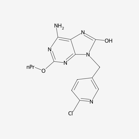 CCCOc1nc(N)c2nc(O)n(Cc3ccc(Cl)nc3)c2n1